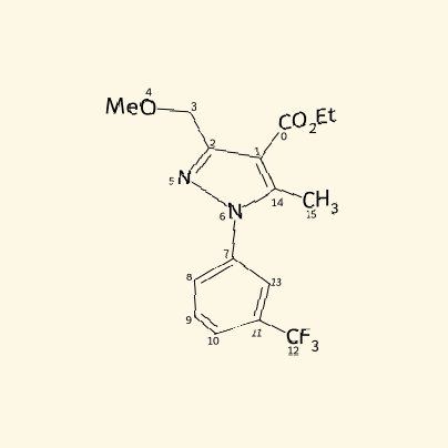 CCOC(=O)c1c(COC)nn(-c2cccc(C(F)(F)F)c2)c1C